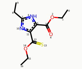 CCOC(=O)c1[nH]c(CC)nc1C(=S)OCC